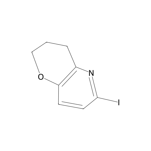 Ic1ccc2c(n1)CCCO2